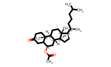 CC(=O)O[C@@H]1C[C@H]2[C@@H]3CC[C@H]([C@H](C)CCCC(C)C)[C@@]3(C)CC[C@@H]2[C@@]2(C)CCC(=O)CC12